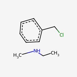 CCNC.ClCc1ccccc1